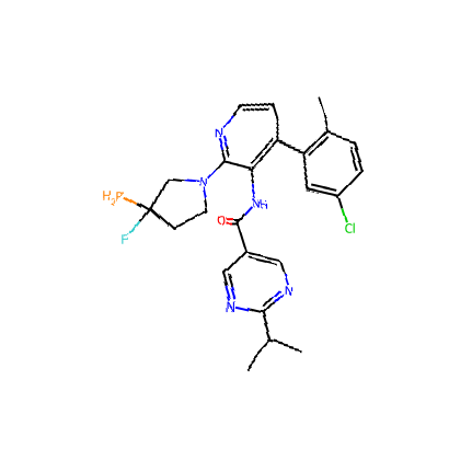 Cc1ccc(Cl)cc1-c1ccnc(N2CCC(F)(P)C2)c1NC(=O)c1cnc(C(C)C)nc1